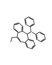 CCC1=Cc2ccccc2C(P(c2ccccc2)c2ccccc2)c2ccccc21